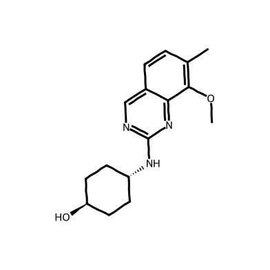 COc1c(C)ccc2cnc(N[C@H]3CC[C@H](O)CC3)nc12